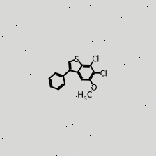 COc1cc2c(-c3ccccc3)csc2c(Cl)c1Cl